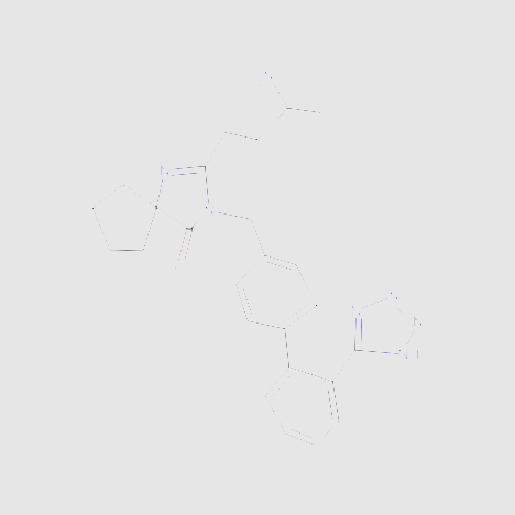 CC(N)CCC1=NC2(CCCC2)C(=O)N1Cc1ccc(-c2ccccc2-c2nnn[nH]2)cc1